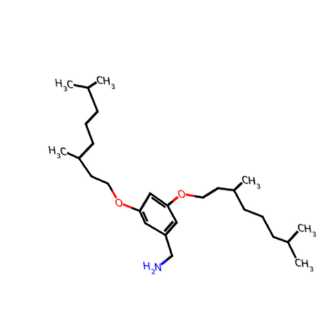 CC(C)CCCC(C)CCOc1cc(CN)cc(OCCC(C)CCCC(C)C)c1